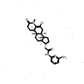 CN1C(=O)CC[C@@]2(C)C1=C(Cl)C[C@H]1[C@@H]3CC[C@H](CC(=O)Nc4cccc(N)n4)[C@@]3(C)CC[C@@H]12